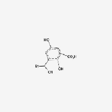 CCC(C#N)c1cc(O)cc(C(=O)O)c1O